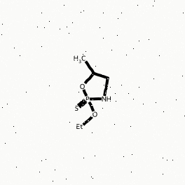 CCOP1(=S)NCC(C)O1